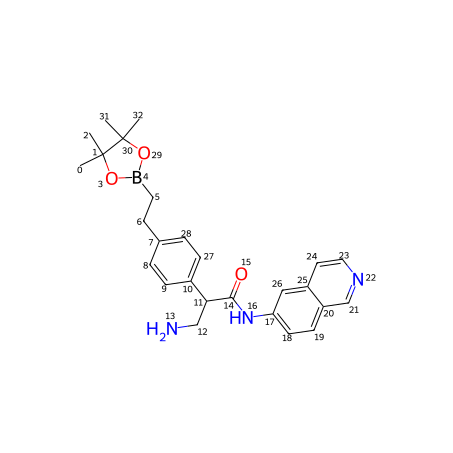 CC1(C)OB(CCc2ccc(C(CN)C(=O)Nc3ccc4cnccc4c3)cc2)OC1(C)C